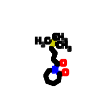 CS(C)(C)CCCC(=O)N1CCCCCC1=O